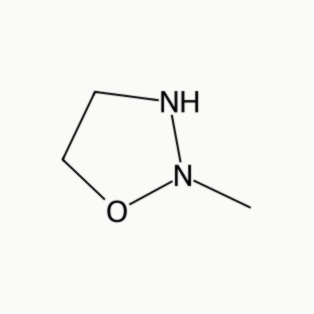 CN1NCCO1